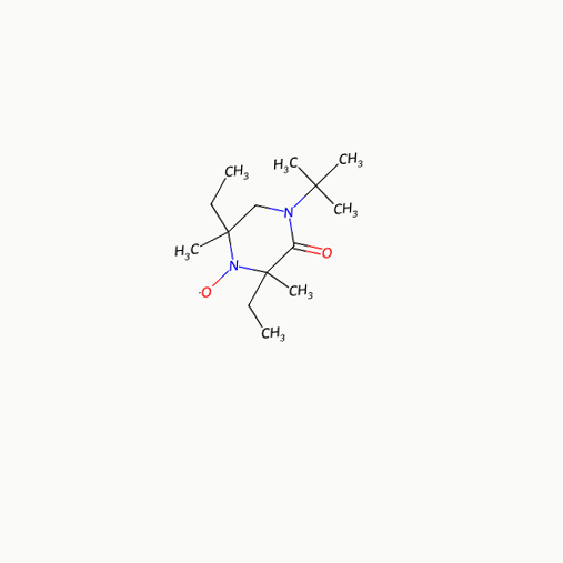 CCC1(C)CN(C(C)(C)C)C(=O)C(C)(CC)N1[O]